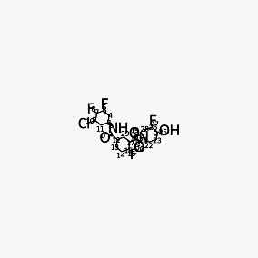 O=C(NC1CC(F)C(F)C(Cl)C1)C1CCC(F)C(S(=O)(=O)N2CCC(O)C(F)C2)C1